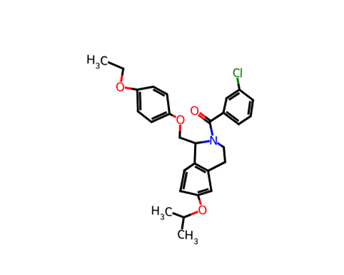 CCOc1ccc(OCC2c3ccc(OC(C)C)cc3CCN2C(=O)c2cccc(Cl)c2)cc1